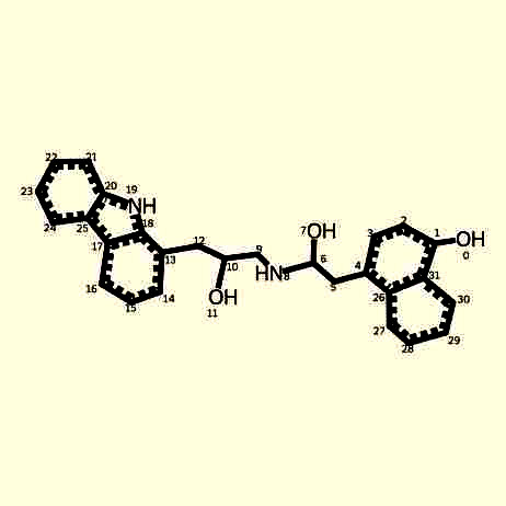 Oc1ccc(CC(O)NCC(O)Cc2cccc3c2[nH]c2ccccc23)c2ccccc12